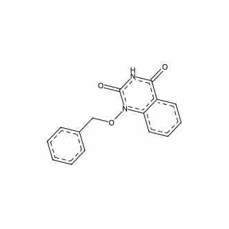 O=c1[nH]c(=O)n(OCc2ccccc2)c2ccccc12